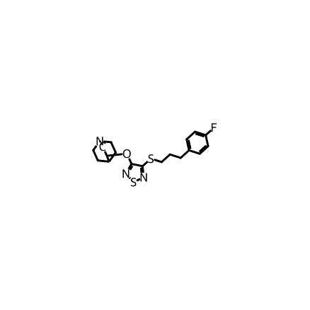 Fc1ccc(CCCSc2nsnc2OC2CN3CCC2CC3)cc1